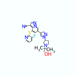 CC(C)(CO)N1CC[C@H](n2cc(-c3cc(Sc4ncccc4F)c4c(C#N)cnn4c3)cn2)C1